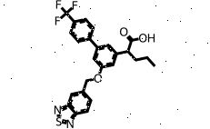 CCCC(C(=O)O)c1cc(OCc2ccc3nsnc3c2)cc(-c2ccc(C(F)(F)F)cc2)c1